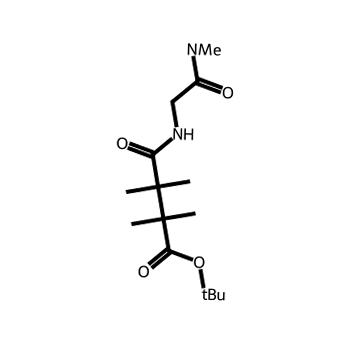 CNC(=O)CNC(=O)C(C)(C)C(C)(C)C(=O)OC(C)(C)C